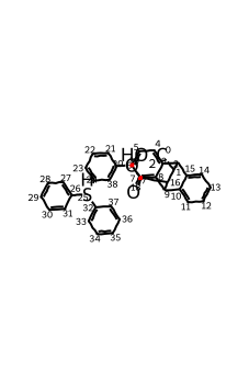 O=C(O)C1C2c3ccccc3C(c3ccccc32)C1C(=O)Oc1cccc([SH](c2ccccc2)c2ccccc2)c1